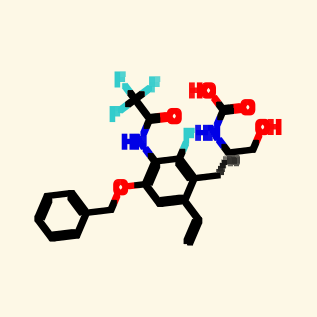 C=Cc1cc(OCc2ccccc2)c(NC(=O)C(F)(F)F)c(F)c1C[C@@H](CO)NC(=O)O